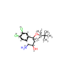 CC(C)(C)[Si](C)(C)OC(CC(O)CN)c1ccc(Cl)c(Cl)c1